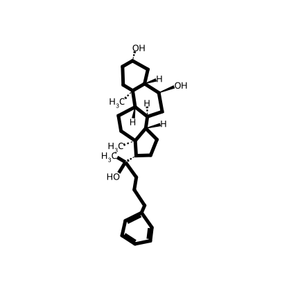 CC(O)(CCCc1ccccc1)[C@H]1CC[C@H]2[C@@H]3C[C@H](O)[C@H]4C[C@@H](O)CC[C@]4(C)[C@H]3CC[C@]12C